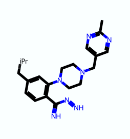 Cc1ncc(CN2CCN(c3cc(CC(C)C)ccc3C(=N)N=N)CC2)cn1